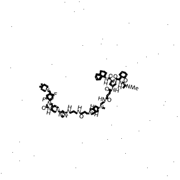 CN[C@@H](C)C(=O)N[C@H](C(=O)N1C[C@@H](NC(=O)CCC(=O)NCCN(C)[C@@H]2C[C@@H]3CN(CCC(=O)NCCCNc4cc(N5CCC6(CC5)CN(c5cc(F)c(CN7CCC(C)(C)CC7)cc5F)CC(=O)N6)ncn4)C[C@@H]3C2)C[C@H]1C(=O)NC1CCCc2ccccc21)C1CCCCC1